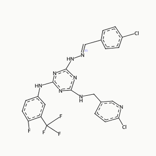 Fc1ccc(Nc2nc(NCc3ccc(Cl)nc3)nc(N/N=C/c3ccc(Cl)cc3)n2)cc1C(F)(F)F